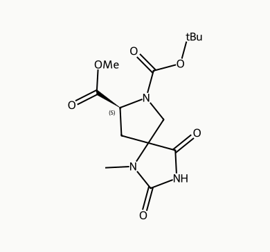 COC(=O)[C@@H]1CC2(CN1C(=O)OC(C)(C)C)C(=O)NC(=O)N2C